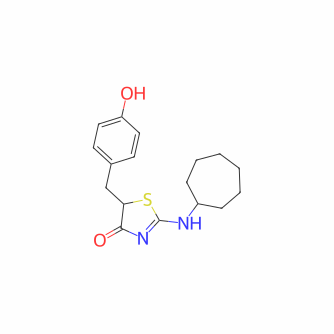 O=C1N=C(NC2CCCCCC2)SC1Cc1ccc(O)cc1